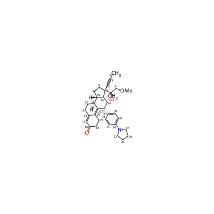 CC#C[C@]1(C(=O)COC)CC[C@H]2[C@@H]3CCC4=CC(=O)CCC4=C3[C@@H](c3ccc(N4CCCC4)cc3)C[C@@]21C